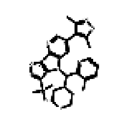 Cc1cccnc1C(C1CCOCC1)n1c2cc(-c3c(C)noc3C)cnc2c2onc(C(C)(C)O)c21